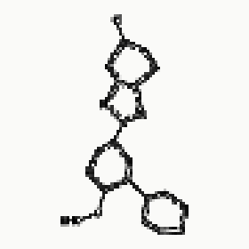 O=COc1ccc(-n2nc3ccc(Cl)cc3n2)cc1-c1ccccc1